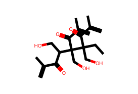 C=C(C)C(=O)C(CO)C(CO)(C(=O)C(=C)C)C(CC)(CO)C(=O)C(=C)C